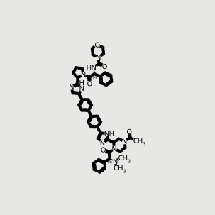 CC(=O)N1CCN(C(=O)[C@@H](c2ccccc2)N(C)C)C(c2ncc(-c3ccc(-c4ccc(-c5cnc(C6CCCN6C(=O)[C@H](NC(=O)N6CCOCC6)c6ccccc6)[nH]5)cc4)cc3)[nH]2)C1